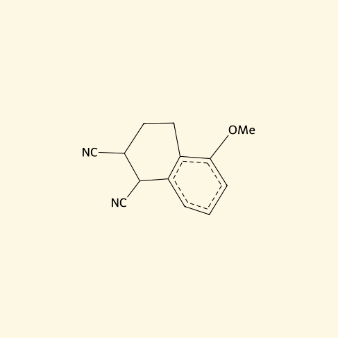 COc1cccc2c1CCC(C#N)C2C#N